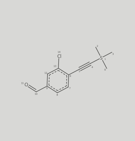 CS(C)(C)C#Cc1ccc(C=O)cc1Cl